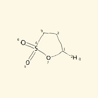 [2H]C1CCS(=O)(=O)O1